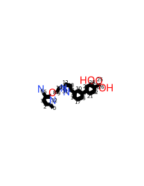 Cc1ccc(C#N)c(OCCn2ccc(-c3cccc(-c4ccc(C(=O)O)c(O)c4)c3)n2)n1